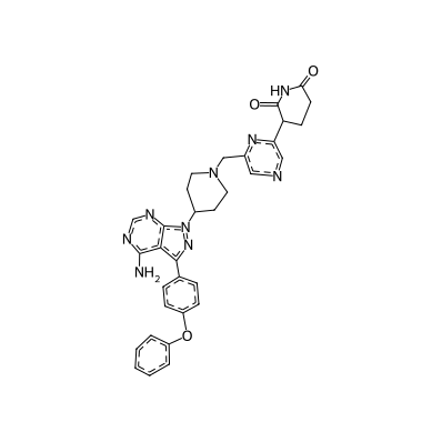 Nc1ncnc2c1c(-c1ccc(Oc3ccccc3)cc1)nn2C1CCN(Cc2cncc(C3CCC(=O)NC3=O)n2)CC1